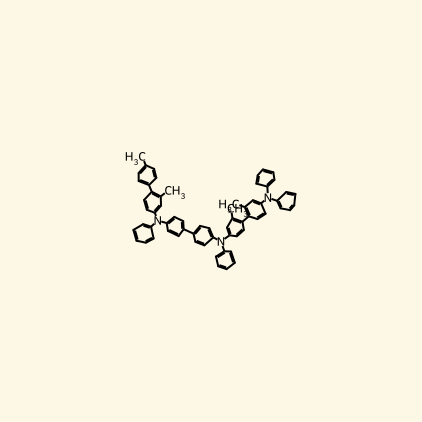 Cc1ccc(-c2ccc(N(c3ccccc3)c3ccc(-c4ccc(N(c5ccccc5)c5ccc(-c6ccc(N(c7ccccc7)c7ccccc7)cc6C)c(C)c5)cc4)cc3)cc2C)cc1